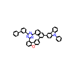 c1ccc(-c2cccc(-c3nc(-c4ccccc4)nc(-c4cccc5oc6ccc(-c7cccc(-c8ccc9c(c8)c8ccccc8n9-c8ccccc8)c7)cc6c45)n3)c2)cc1